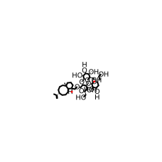 C=C(C)[C@H]1CCC[C@H]2[C@](C)(CCC1)CCC[C@@]2(C)CO[C@@H]1O[C@H](CO)[C@@H](O)[C@H](O[C@@H]2O[C@H](CCO)C[C@H](O)[C@H]2O)[C@H]1O[C@@H]1O[C@H](CO)[C@@H](O)[C@H](O)[C@H]1O